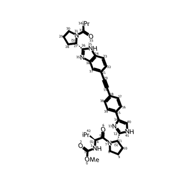 COC(=O)N[C@H](C(=O)N1CCC[C@H]1c1nc(-c2ccc(C#Cc3ccc4[nH]c([C@@H]5CCCN5C(=O)C(C)C)nc4c3)cc2)c[nH]1)C(C)C